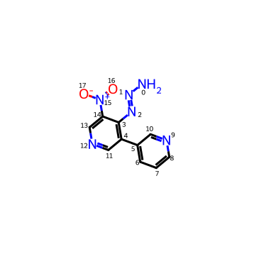 NN=Nc1c(-c2cccnc2)cncc1[N+](=O)[O-]